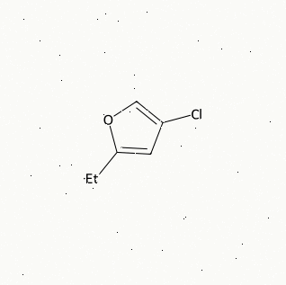 C[CH]c1cc(Cl)co1